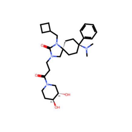 CN(C)[C@]1(c2ccccc2)CC[C@]2(CC1)CN(CCC(=O)N1CC[C@H](O)[C@@H](O)C1)C(=O)N2CC1CCC1